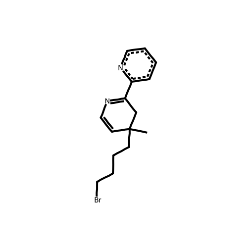 CC1(CCCCBr)C=CN=C(c2ccccn2)C1